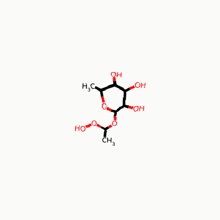 CC(OO)OC1OC(C)C(O)C(O)C1O